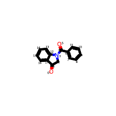 O=C1CN(C(=O)c2ccccc2)c2ccccc21